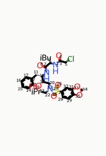 CCC(C)[C@H](NC(=O)CCl)C(=O)N[C@@H](Cc1ccccc1)[C@H](O)CN(CC(C)C)S(=O)(=O)c1ccc2c(c1)OCO2